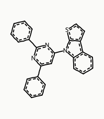 c1ccc(-c2cc(-n3c4ccccc4c4ccsc43)nc(-c3ccccc3)n2)cc1